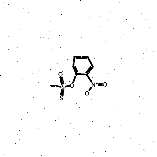 CS(=O)(=S)Oc1ccccc1[N+](=O)[O-]